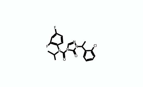 CC(C)N(C(=O)n1cnn(C(C)c2ccccc2Cl)c1=O)c1ccc(F)cc1F